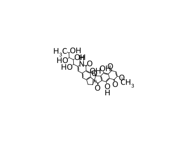 COC1=CC(=O)c2c(O)c3c(c(O)c2C1=O)C(=O)[C@@]1(CCc2cc4cc(C(O)C(O)C(O)C(C)O)[nH]c(=O)c4c(O)c21)C3=O